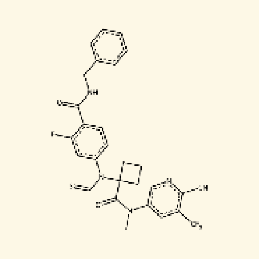 CN(C(=O)C1(N(C=S)c2ccc(C(=O)NCc3ccccc3)c(F)c2)CCC1)c1cnc(C#N)c(C(F)(F)F)c1